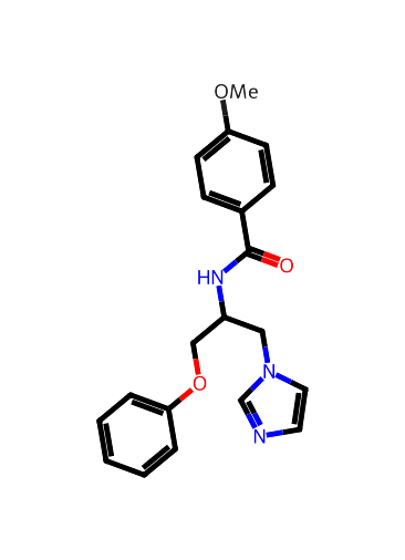 COc1ccc(C(=O)NC(COc2ccccc2)Cn2ccnc2)cc1